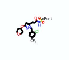 CCCCCS(=O)(=O)NC(=O)/C=C/c1cc(OC2CCOCC2)nn1Cc1ccc(C(F)(F)F)cc1Cl